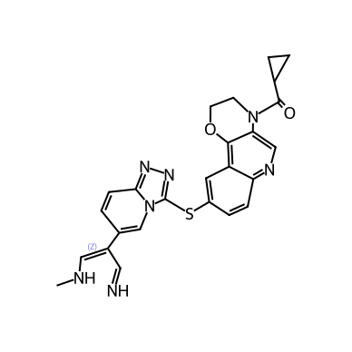 CN/C=C(\C=N)c1ccc2nnc(Sc3ccc4ncc5c(c4c3)OCCN5C(=O)C3CC3)n2c1